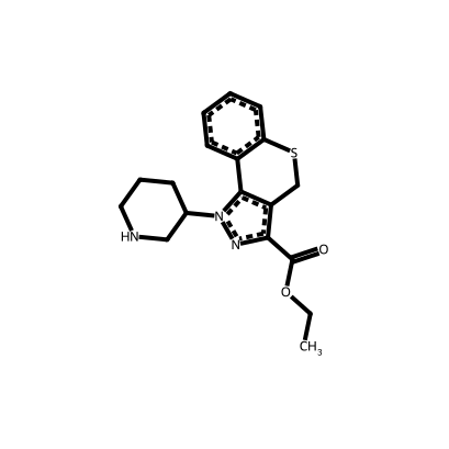 CCOC(=O)c1nn(C2CCCNC2)c2c1CSc1ccccc1-2